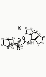 O=C(Nc1c2c(cc3c1CCC3)CCC2)NS(=O)(=O)N1CC2CCC(C1)N2C1CC1.[K]